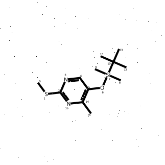 CSc1ncc(O[Si](C)(C)C(C)(C)C)c(C)n1